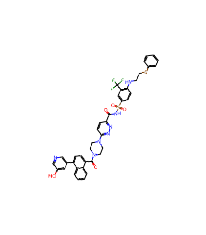 O=C(NS(=O)(=O)c1ccc(NCCSc2ccccc2)c(C(F)(F)F)c1)c1ccc(N2CCN(C(=O)c3ccc(-c4cncc(O)c4)c4ccccc34)CC2)nn1